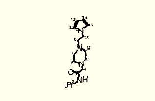 CC(C)NC(=O)CN1CCN(CCn2cccc2)CC1